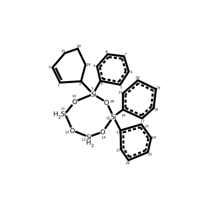 C1=CC([Si]2(c3ccccc3)O[SiH2]O[SiH2]O[Si](c3ccccc3)(c3ccccc3)O2)CCC1